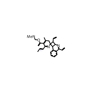 C=CC1=NC2C(C=C)C3(CC(C)=C(C(=C)OCNC)C(/C=C/C)=N3)C2c2ccccc21